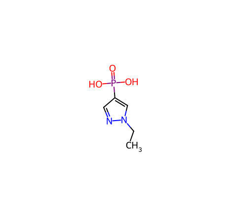 CCn1cc(P(=O)(O)O)cn1